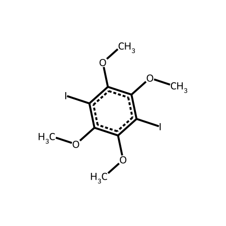 COc1c(I)c(OC)c(OC)c(I)c1OC